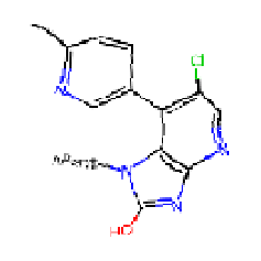 CCCCCn1c(O)nc2ncc(Cl)c(-c3ccc(C)nc3)c21